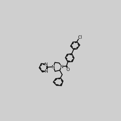 O=C(c1ccc(-c2ccc(Cl)cc2)cc1)N1CCN(c2ncccn2)CC1Cc1ccccc1